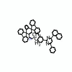 C=C/C=C\C1=C(C)C2(c3ccccc3-c3ccc(-c4cccc(-c5nc(-c6ccccc6)cc(-c6cccc7ccccc67)n5)c4)cc32)c2ccccc2C12c1ccccc1-c1ccccc12